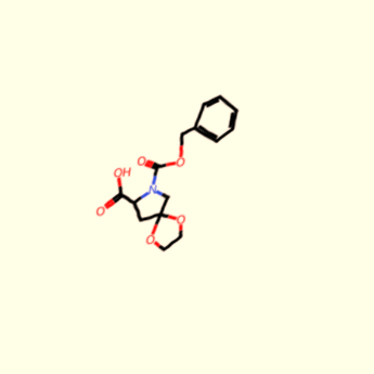 O=C(O)C1CC2(CN1C(=O)OCc1ccccc1)OCCO2